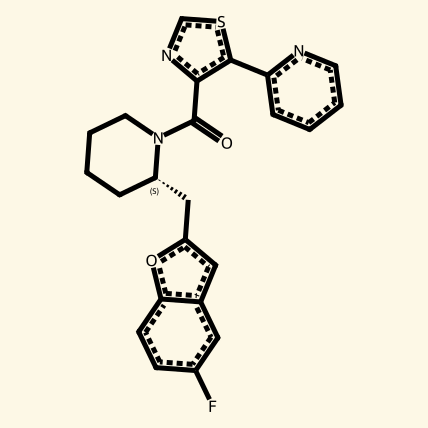 O=C(c1ncsc1-c1ccccn1)N1CCCC[C@H]1Cc1cc2cc(F)ccc2o1